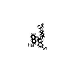 C=CC(=O)N1CC2(CCN(c3nc4c(c(-c5cc(O)cc6ccccc56)c3C)CCN(C(C)C)C4)C2)C1